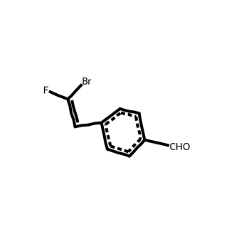 O=Cc1ccc(C=C(F)Br)cc1